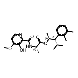 COc1ccnc(C(=O)N[C@@H](C)C(=O)O[C@@H](C)[C@H](c2cccc(C)c2C)C(C)C)c1O